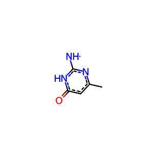 Cc1cc(=O)[nH]c([NH])n1